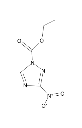 CCOC(=O)n1cnc([N+](=O)[O-])n1